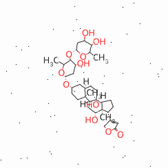 CC1O[C@H](OC2C(C)O[C@@H](O[C@H]3CC[C@@]4(C)[C@H](CC[C@@H]5[C@@H]4C[C@@H](O)[C@]4(C)[C@@H](C6=CC(=O)OC6)CC[C@]54O)C3)C[C@H]2O)C[C@@H](O)C1O